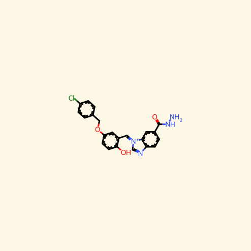 NNC(=O)c1ccc2c(c1)[N+](=Cc1cc(OCc3ccc(Cl)cc3)ccc1O)C=N2